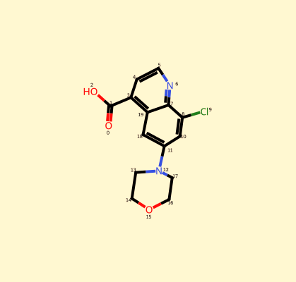 O=C(O)c1ccnc2c(Cl)cc(N3CCOCC3)cc12